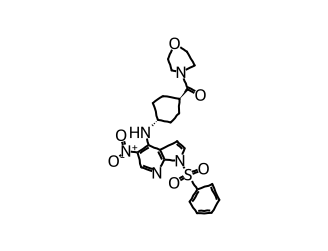 O=C([C@H]1CC[C@H](Nc2c([N+](=O)[O-])cnc3c2ccn3S(=O)(=O)c2ccccc2)CC1)N1CCOCC1